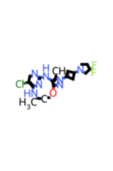 Cc1c2c(nn1C1CC(N3CCC(F)(F)C3)C1)OCCC(C)Nc1nc(ncc1Cl)N2